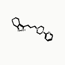 c1ccc(N2CCN(CCCc3[nH]nc4c3CCCC4)CC2)nc1